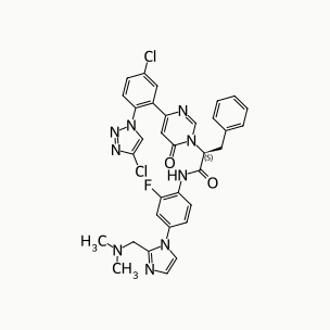 CN(C)Cc1nccn1-c1ccc(NC(=O)[C@H](Cc2ccccc2)n2cnc(-c3cc(Cl)ccc3-n3cc(Cl)nn3)cc2=O)c(F)c1